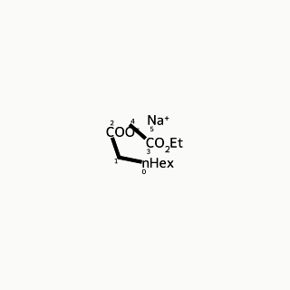 CCCCCCCC(=O)[O-].CCOC(C)=O.[Na+]